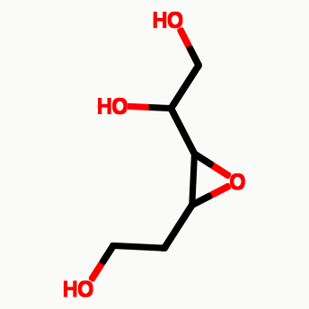 OCCC1OC1C(O)CO